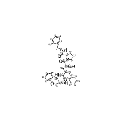 Cc1ccccc1CNC(=O)[C@@H]1CCCN1C(=O)[C@@H](O)C[C@@H](Cc1ccccc1)C(=O)N[C@H]1c2ccccc2OC[C@H]1O